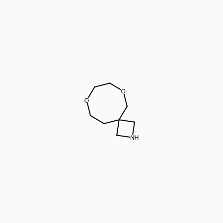 C1COCC2(CCO1)CNC2